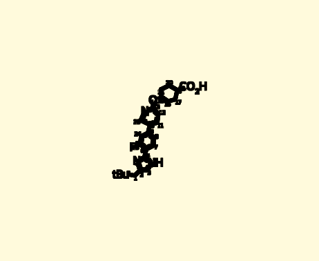 CC(C)(C)Cc1c[nH]c(-c2ccc(-c3ccc(O[C@H]4CC[C@@H](C(=O)O)CC4)nc3)cc2F)n1